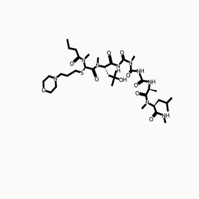 CCCC(=O)N(C)[C@H](SCCCN1CCOCC1)C(=O)N(C)[C@@H](CC(C)(C)O)C(=O)NC(=O)N(C)C(=O)NC(=O)N[C@@H](C)C(=O)N(C)[C@@H](CC(C)C)C(=O)NC